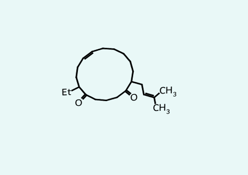 CCC1CC/C=C\CCCCCC(CC=C(C)C)C(=O)CCCC1=O